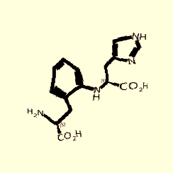 N[C@@H](Cc1ccccc1N[C@@H](Cc1c[nH]cn1)C(=O)O)C(=O)O